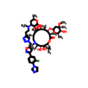 CC[C@H]1OC(=O)[C@H](C)[C@@H](O[C@H]2C[C@@](C)(OC)[C@@H](O)[C@H](C)O2)[C@H](C)[C@@H](O[C@@H]2O[C@H](C)C[C@H](N(C)CCc3cn(C[C@H]4CC(c5ccc(-n6ccnc6)c(F)c5)=NO4)nn3)[C@H]2O)[C@](C)(O)C[C@@H](C)CN(C)[C@H](C)[C@@H](O)[C@]1(C)O